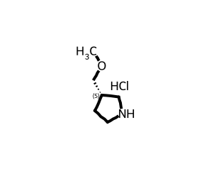 COC[C@H]1CCNC1.Cl